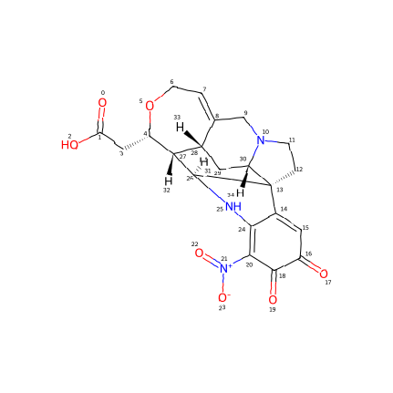 O=C(O)C[C@@H]1OCC=C2CN3CC[C@]45C6=CC(=O)C(=O)C([N+](=O)[O-])=C6N[C@H]4[C@H]1[C@H]2C[C@H]35